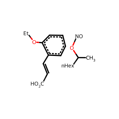 CCCCCCC(C)ON=O.CCOc1ccccc1C=CC(=O)O